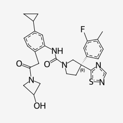 Cc1ccc([C@]2(c3ncns3)CCN(C(=O)Nc3cc(C4CC4)ccc3CC(=O)N3CC(O)C3)C2)cc1F